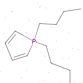 CCCC[P]1(CCCC)C=CC=C1